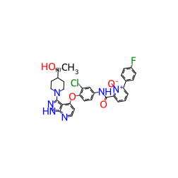 C[C@@H](O)C1CCN(c2n[nH]c3nccc(Oc4ccc(NC(=O)c5cccc(-c6ccc(F)cc6)[n+]5[O-])cc4Cl)c23)CC1